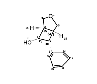 O[C@@H]1[C@H]2COC[C@H]2[C@@H]1c1ccccc1